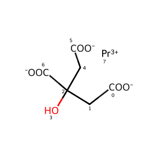 O=C([O-])CC(O)(CC(=O)[O-])C(=O)[O-].[Pr+3]